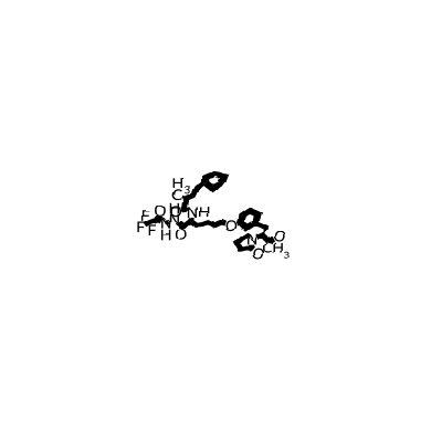 CC(=O)[C@H](Cc1cccc(OCCCCC(NC(=O)[C@@H](C)CCc2ccccc2)C(=O)NNC(=O)C(F)(F)F)c1)N1CCCC1=O